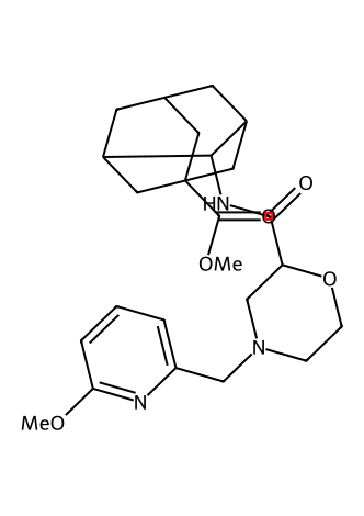 COC(=O)C12CC3CC(C1)C(NC(=O)C1CN(Cc4cccc(OC)n4)CCO1)C(C3)C2